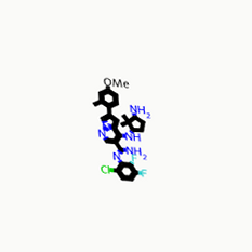 COc1ccc(-c2cc3c(NC4CCC(N)C4(C)C)c(/C(N)=N/c4c(Cl)ccc(F)c4F)cnn3c2)c(C)c1